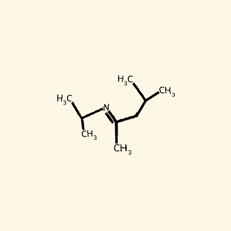 CC(CC(C)C)=NC(C)C